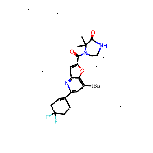 CC(C)(C)c1cc(C2=CCC(F)(F)CC2)nc2cc(C(=O)N3CCNC(=O)C3(C)C)oc12